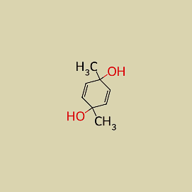 CC1(O)C=CC(C)(O)C=C1